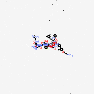 CCc1cc(OCCCCN)ccc1-c1ccc(C[C@H](NC(=O)[C@H](CC(=O)O)NC(=O)[C@H](C)NC(=O)[C@@H](NC(=O)[C@](C)(Cc2ccccc2F)NC(=O)[C@@H](NC(=O)CNC(=O)[C@H](Cc2nn[nH]n2)NC(=O)C(C)(C)C(=O)NCCc2cnc[nH]2)[C@@H](C)O)[C@@H](C)O)C(=O)N[C@@H](CCCc2cc(C)cc(C)c2)C(=O)Nc2ccccc2)cc1